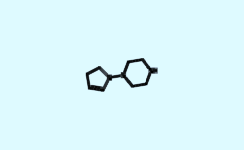 C1=CN(N2CCNCC2)CC1